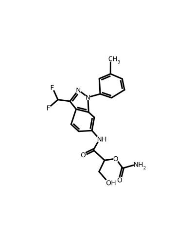 Cc1cccc(-n2nc(C(F)F)c3ccc(NC(=O)C(CO)OC(N)=O)cc32)c1